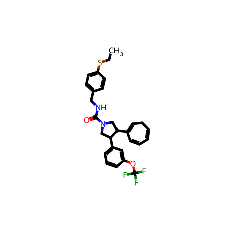 CCSc1ccc(CNC(=O)N2CC(C3=CCC=CC=C3)C(c3cccc(OC(F)(F)F)c3)C2)cc1